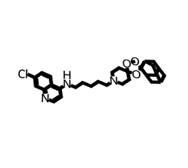 Clc1ccc2c(NCCCCCN3CCC4(CC3)OOC3(O4)C4CC5CC(C4)CC3C5)ccnc2c1